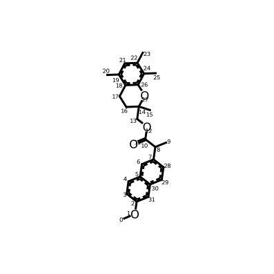 COc1ccc2cc(C(C)C(=O)OCC3(C)CCc4c(C)cc(C)c(C)c4O3)ccc2c1